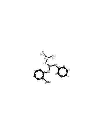 CC(C)(C)c1ccccc1OP(Oc1ccccc1)OP(O)O